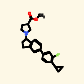 COC(=O)[C@@H]1CCN(C2CCc3cc(-c4ccc(C5CC5)c(F)c4)ccc32)C1